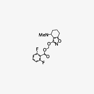 CNC1CCCc2onc(OCOC(=O)c3c(F)cccc3F)c21